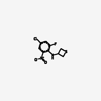 O=[N+]([O-])c1cc(Cl)cc(F)c1NC1CSC1